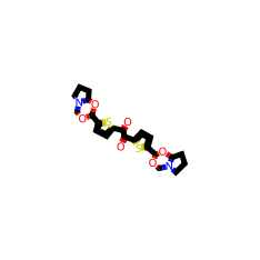 O=C(C(=O)c1ccc(C2OCN3CCCC3O2)s1)c1ccc(C2OCN3CCCC3O2)s1